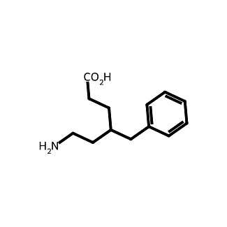 NCCC(CCC(=O)O)Cc1ccccc1